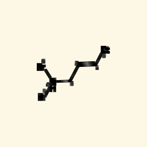 CCC=CC[SiH](Br)Br